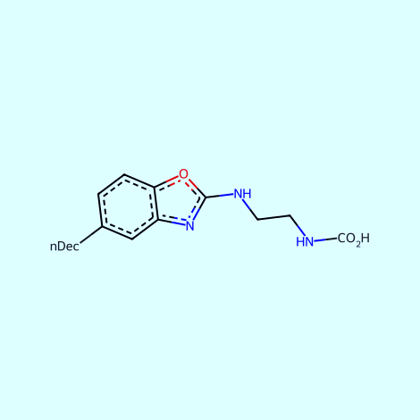 CCCCCCCCCCc1ccc2oc(NCCNC(=O)O)nc2c1